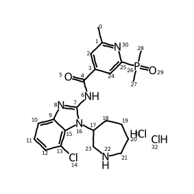 Cc1cc(C(=O)Nc2nc3cccc(Cl)c3n2C2CCCCNC2)cc(P(C)(C)=O)n1.Cl.Cl